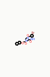 O=C1Nc2ccc(Br)cc2C(=O)N2CCN(C(=O)COc3ccc4ccccc4c3)CC12